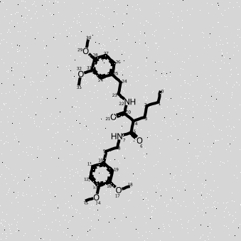 CCCCC(C(=O)NCCc1ccc(OC)c(OC)c1)C(=O)NCCc1ccc(OC)c(OC)c1